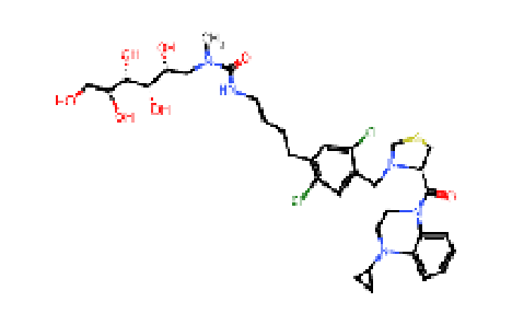 CN(C[C@@H](O)[C@H](O)[C@@H](O)[C@@H](O)CO)C(=O)NCCCCc1cc(Cl)c(CN2CSC[C@H]2C(=O)N2CCN(C3CC3)c3ccccc32)cc1Cl